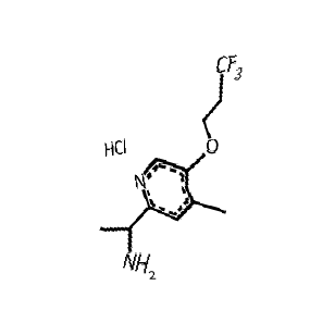 Cc1cc(C(C)N)ncc1OCCC(F)(F)F.Cl